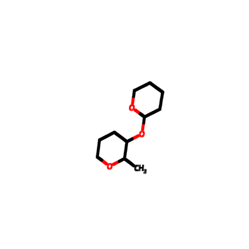 CC1OCCCC1OC1CCCCO1